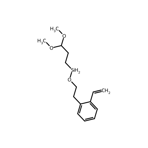 C=Cc1ccccc1CCO[SiH2]CCC(OC)OC